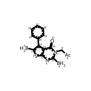 Bc1sc2nc(B)n(CC(C)=O)c(=O)c2c1-c1ccccc1